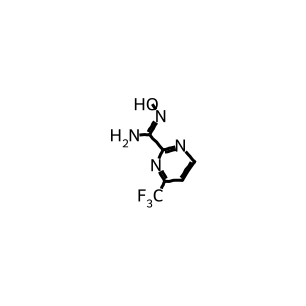 N/C(=N\O)c1nccc(C(F)(F)F)n1